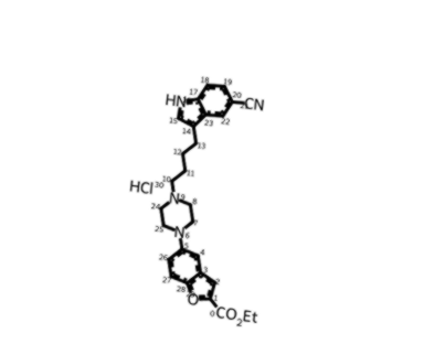 CCOC(=O)c1cc2cc(N3CCN(CCCCc4c[nH]c5ccc(C#N)cc45)CC3)ccc2o1.Cl